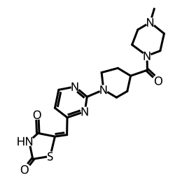 CN1CCN(C(=O)C2CCN(c3nccc(C=C4SC(=O)NC4=O)n3)CC2)CC1